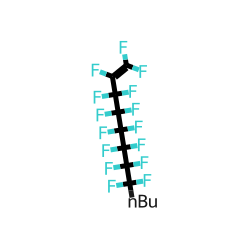 CCCCC(F)(F)C(F)(F)C(F)(F)C(F)(F)C(F)(F)C(F)(F)C(F)=C(F)F